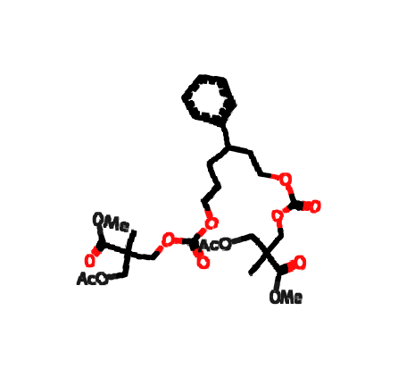 COC(=O)C(C)(COC(C)=O)COC(=O)OCCCC(CCOC(=O)OCC(C)(COC(C)=O)C(=O)OC)c1ccccc1